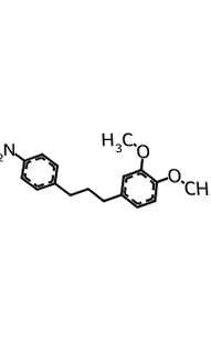 COc1ccc(CCCc2ccc(N)cc2)cc1OC